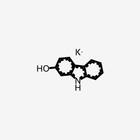 Oc1ccc2c(c1)[nH]c1ccccc12.[K]